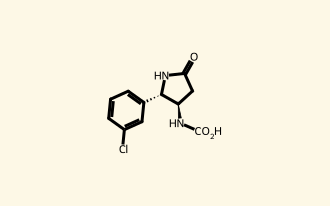 O=C(O)N[C@@H]1CC(=O)N[C@H]1c1cccc(Cl)c1